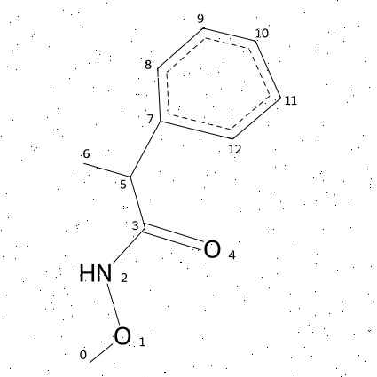 CONC(=O)C(C)c1ccccc1